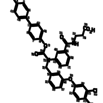 N#Cc1ccc(-c2ccc(OC(=O)N(Cc3cccc(Oc4ccc(Cl)c(Cl)c4)c3)c3cccc(C(=O)NCCC(=O)O)c3)cc2)cc1